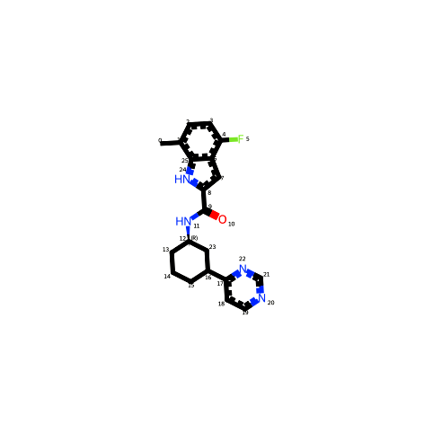 Cc1ccc(F)c2cc(C(=O)N[C@@H]3CCCC(c4ccncn4)C3)[nH]c12